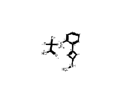 CNC1C=C(c2ccccc2C)C1.O=C(O)C(F)(F)F